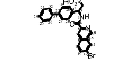 O=C(O)CC(NC(=O)c1cc2ccc(Br)cc2cn1)c1ccc(-c2ccccc2)cc1